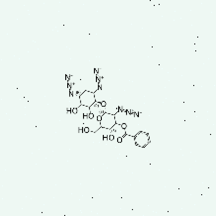 [N-]=[N+]=NC1C(OC(=O)c2ccccc2)[C@H](O)C(CO)O[C@@H]1O[C@@H]1C(N=[N+]=[N-])C[C@@H](N=[N+]=[N-])C(O)C1O